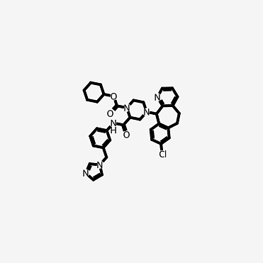 O=C(Nc1cccc(Cn2ccnc2)c1)C1CN(C2c3ccc(Cl)cc3CCc3cccnc32)CCN1C(=O)OC1CCCCC1